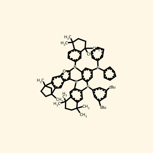 CC(C)(C)c1cc(N2c3cc4c(cc3B3c5c2cc(N(c2ccccc2)c2ccccc2)cc5N(c2ccc5c(c2)C(C)(C)CCC5(C)C)c2oc5cc6c(cc5c23)C2(C)CCC6(C)C2)C(C)(C)CCC4(C)C)cc(C(C)(C)C)c1